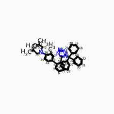 Cc1cc(-c2ccccc2-c2nnnn2C(c2ccccc2)(c2ccccc2)c2ccccc2)ccc1N(CC(C)C)CC(C)C